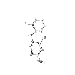 Cc1ccccc1Sc1ccc(N)cc1Cl